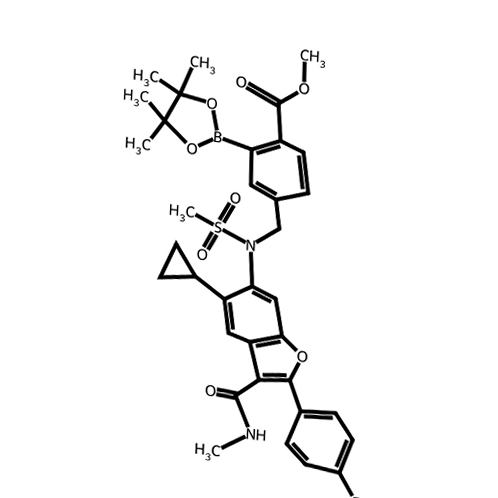 CNC(=O)c1c(-c2ccc(F)cc2)oc2cc(N(Cc3ccc(C(=O)OC)c(B4OC(C)(C)C(C)(C)O4)c3)S(C)(=O)=O)c(C3CC3)cc12